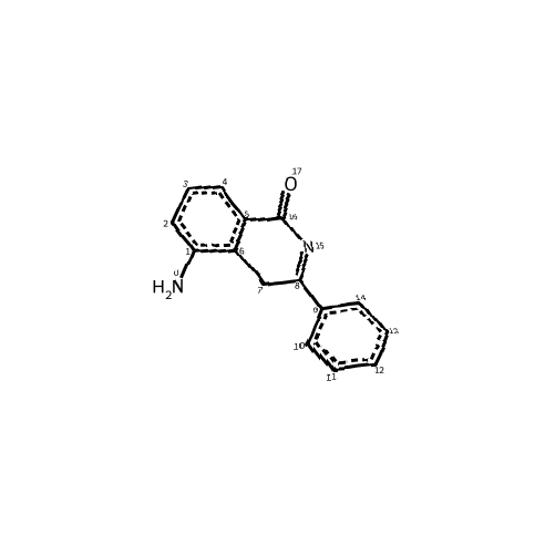 Nc1cccc2c1CC(c1ccccc1)=NC2=O